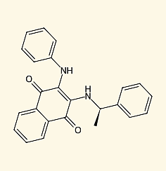 C[C@@H](NC1=C(Nc2ccccc2)C(=O)c2ccccc2C1=O)c1ccccc1